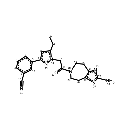 CCc1cc(-c2cccc(C#N)c2)nn1CC(=O)N1CCc2nc(N)sc2CC1